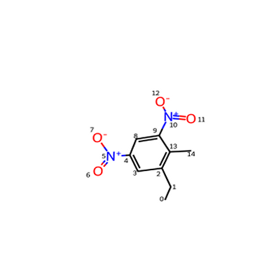 CCc1cc([N+](=O)[O-])cc([N+](=O)[O-])c1C